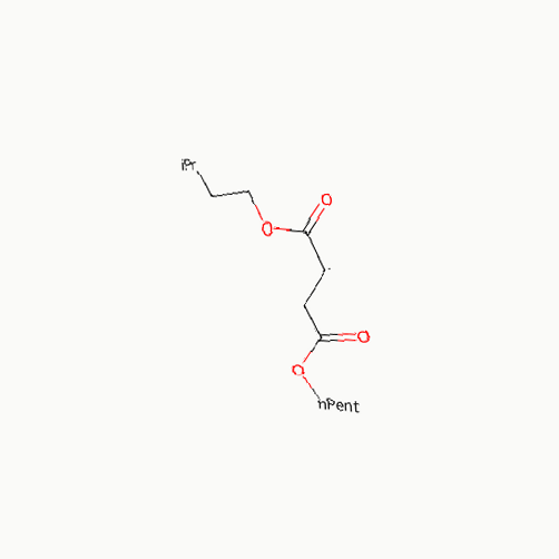 CCCCCOC(=O)C[CH]C(=O)OCCC(C)C